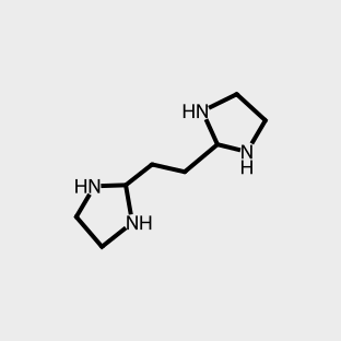 C1CNC(CCC2NCCN2)N1